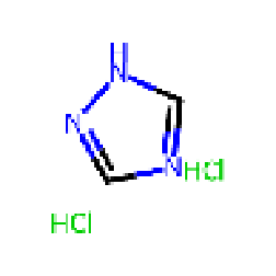 Cl.Cl.c1nc[nH]n1